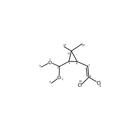 COC(OC)C1C(C=C(Cl)Cl)C1(C)C